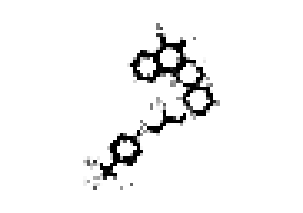 CC(C)(C)c1ccc(OC[C@@H](O)CN2CCCC3(CSC4=C(O3)c3ccccc3C(=O)C4=O)C2)cc1